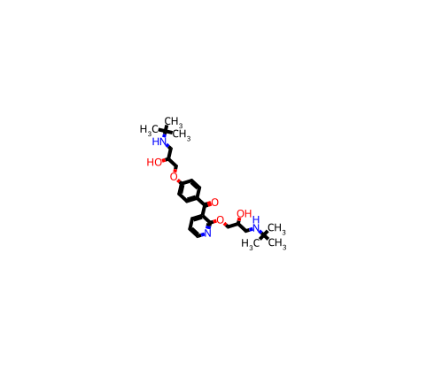 CC(C)(C)NCC(O)COc1ccc(C(=O)c2cccnc2OCC(O)CNC(C)(C)C)cc1